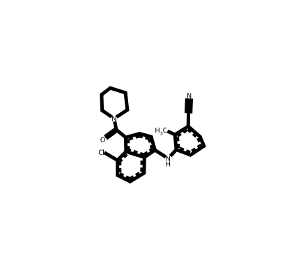 Cc1c(C#N)cccc1Nc1ccc(C(=O)N2CCCCC2)c2c(Cl)cccc12